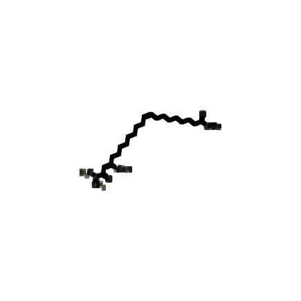 CCCCCCCCC/C(=C\C(=O)N(C)C)CCCCCCCC/C=C\CCCCCCCC(=O)OC